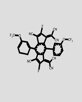 N#CC(C#N)=C1C(F)=C(C#N)c2c(C3=CC(OC(F)(F)F)=CCC3)c3c(c(-c4cccc(OC(F)(F)F)c4)c21)C(=C(C#N)C#N)C(F)=C3C#N